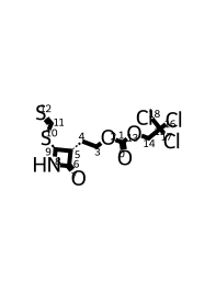 O=C(OCC[C@@H]1C(=O)N[C@@H]1SC=S)OCC(Cl)(Cl)Cl